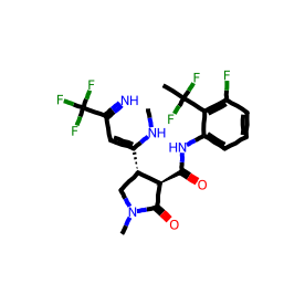 CN/C(=C\C(=N)C(F)(F)F)[C@H]1CN(C)C(=O)[C@@H]1C(=O)Nc1cccc(F)c1C(C)(F)F